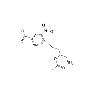 CC(=O)OC(CN)CCOc1ccc([N+](=O)[O-])cc1[N+](=O)[O-]